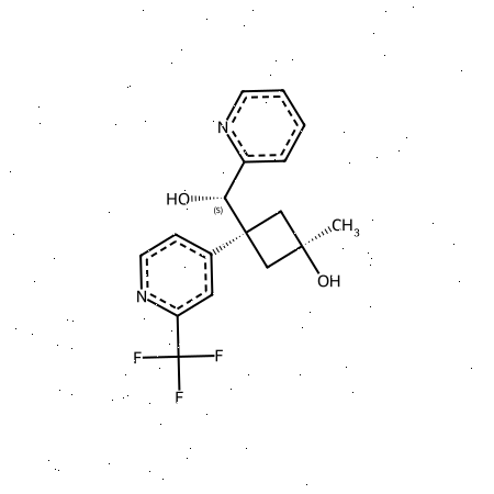 C[C@]1(O)C[C@@](c2ccnc(C(F)(F)F)c2)([C@H](O)c2ccccn2)C1